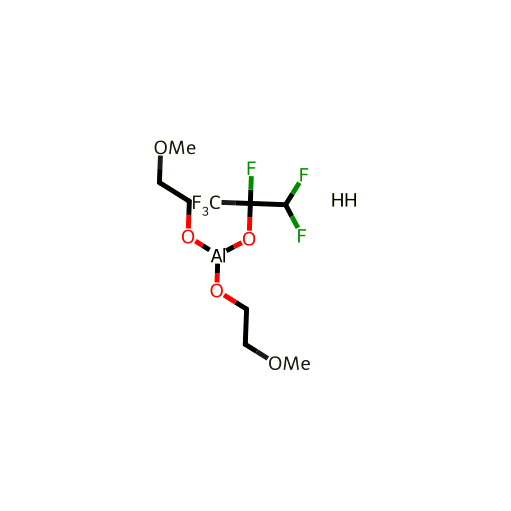 COCC[O][Al]([O]CCOC)[O]C(F)(C(F)F)C(F)(F)F.[HH]